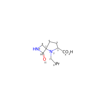 CC(C)CN1C(C(=O)O)CCC12CNC2=O